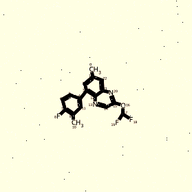 Cc1cc(-c2ccc(F)c(C)c2)c2ncc(OC(F)F)nc2c1